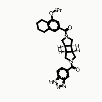 CC(C)Oc1cc(C(=O)N2C[C@@H]3[C@H](C2)[C@H]2CN(C(=O)c4ccc5[nH]nnc5c4)C[C@@H]32)cc2c1CCCC2